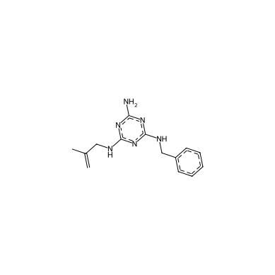 C=C(C)CNc1nc(N)nc(NCc2ccccc2)n1